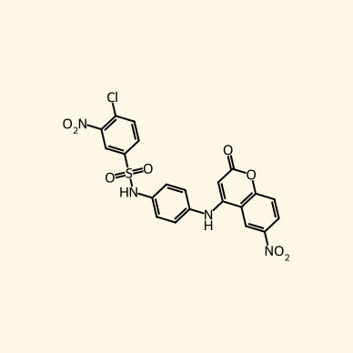 O=c1cc(Nc2ccc(NS(=O)(=O)c3ccc(Cl)c([N+](=O)[O-])c3)cc2)c2cc([N+](=O)[O-])ccc2o1